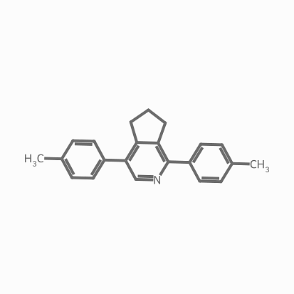 Cc1ccc(-c2cnc(-c3ccc(C)cc3)c3c2CCC3)cc1